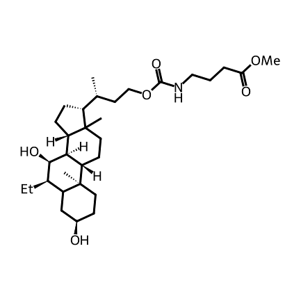 CC[C@@H]1C2C[C@H](O)CC[C@]2(C)[C@H]2CCC3(C)[C@@H]([C@H](C)CCOC(=O)NCCCC(=O)OC)CC[C@H]3[C@@H]2[C@@H]1O